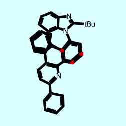 CC(C)(C)c1nc2ccccc2n1-c1ccccc1-c1ccccc1-c1ccc(-c2ccccc2)nc1-c1ccccc1-c1ccccc1